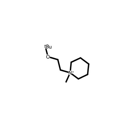 CC(C)(C)OCC[N+]1(C)CCCCC1